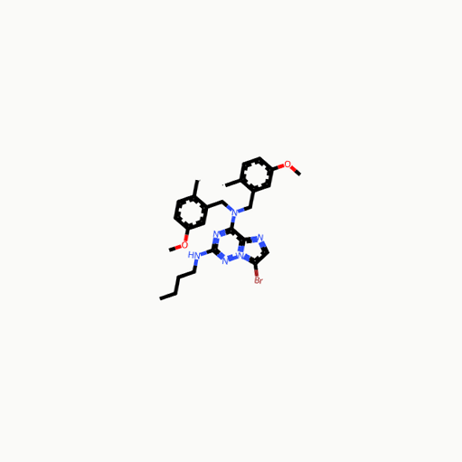 [CH2]c1ccc(OC)cc1CN(Cc1cc(OC)ccc1[CH2])c1nc(NCCCC)nn2c(Br)cnc12